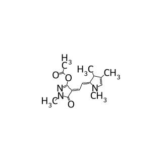 CC(=O)OC1=NN(C)C(=O)/C1=C/C=C1/C(C)C(C)=CN1C